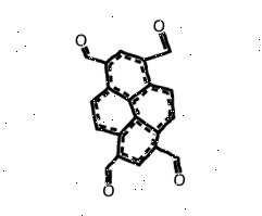 O=Cc1cc(C=O)c2ccc3c(C=O)cc(C=O)c4ccc1c2c43